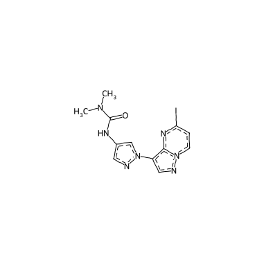 CN(C)C(=O)Nc1cnn(-c2cnn3ccc(I)nc23)c1